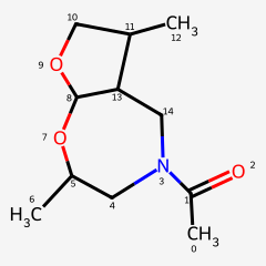 CC(=O)N1CC(C)OC2OCC(C)C2C1